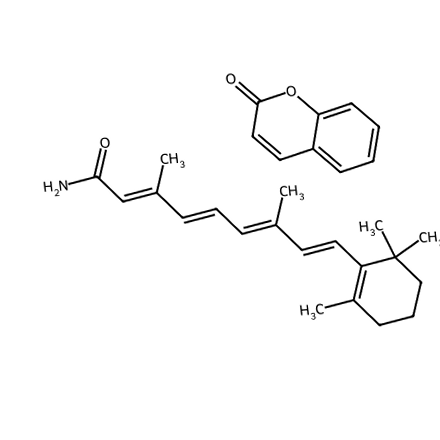 CC1=C(/C=C/C(C)=C/C=C/C(C)=C/C(N)=O)C(C)(C)CCC1.O=c1ccc2ccccc2o1